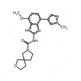 COc1ccc(-c2cnn(C)c2)c2nc(NC(=O)N3CCC4(CCOC4)C3)[nH]c12